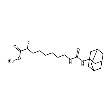 CC(C)(C)OC(=O)C(F)CCCCCCNC(=O)NC12CC3CC(CC(C3)C1)C2